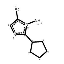 CC(=O)c1cnc(C2CCCC2)n1N